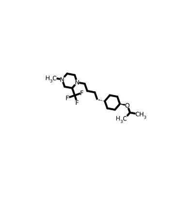 CC(C)O[C@H]1CC[C@H](CCCCN2CCN(C)CC2C(F)(F)F)CC1